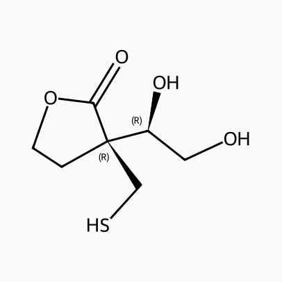 O=C1OCC[C@@]1(CS)[C@@H](O)CO